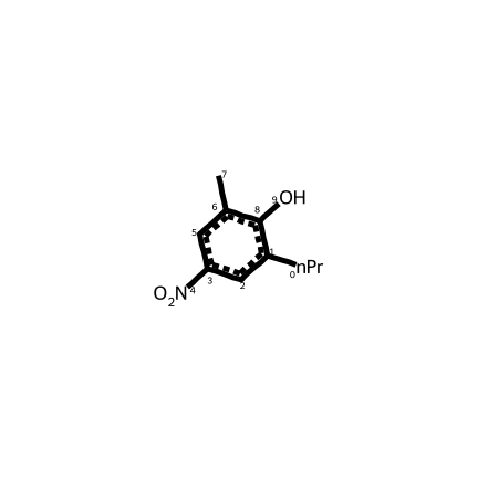 CCCc1cc([N+](=O)[O-])cc(C)c1O